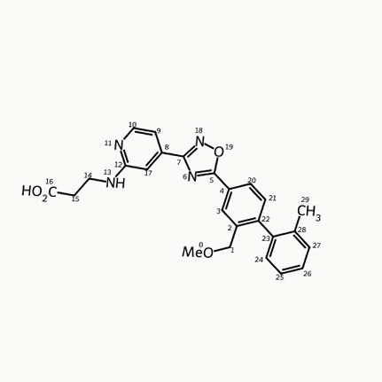 COCc1cc(-c2nc(-c3ccnc(NCCC(=O)O)c3)no2)ccc1-c1ccccc1C